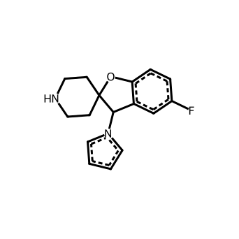 Fc1ccc2c(c1)C(n1cccc1)C1(CCNCC1)O2